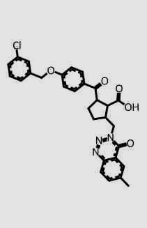 Cc1ccc2nnn(CC3CCC(C(=O)c4ccc(OCc5cccc(Cl)c5)cc4)C3C(=O)O)c(=O)c2c1